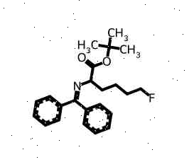 CC(C)(C)OC(=O)C(CCCCF)N=C(c1ccccc1)c1ccccc1